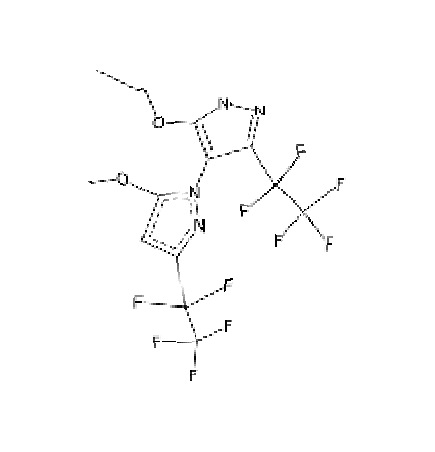 CCOC1=C(n2nc(C(F)(F)C(F)(F)F)cc2OC)C(C(F)(F)C(F)(F)F)=N[N]1